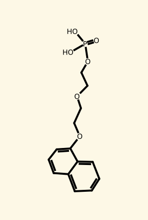 O=P(O)(O)OCCOCCOc1cccc2ccccc12